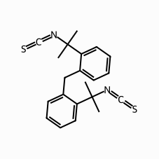 CC(C)(N=C=S)c1ccccc1Cc1ccccc1C(C)(C)N=C=S